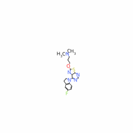 CN(C)CCCOC1=NC2C(N3CCc4cc(F)ccc43)=NC=NC2S1